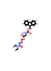 CCN(CC)[N+]([O-])=NOCOC(=O)CNC(=O)OCC1c2ccccc2-c2ccccc21